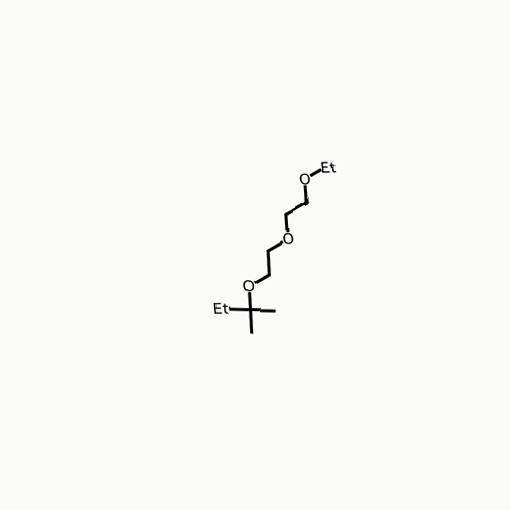 [CH2]CC(C)(C)OCCOCCOCC